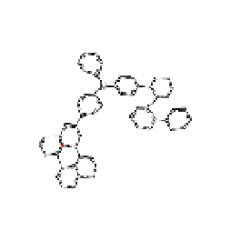 c1ccc(-c2ccccc2-c2ccccc2-c2ccc(N(c3ccccc3)c3ccc(-c4cccc(-c5cccc6cccc(-c7ccccc7)c56)c4)cc3)cc2)cc1